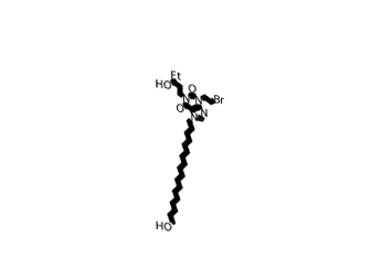 CCC(O)CCn1c(=O)c2c(ncn2CCCCCCCCCCCCCCCCCCO)n(CCBr)c1=O